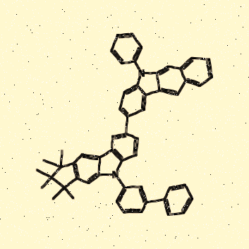 CC1(C)c2cc3c4cc(-c5ccc6c(c5)c5cc7ccccc7cc5n6-c5ccccc5)ccc4n(-c4cccc(-c5ccccc5)c4)c3cc2C(C)(C)C1(C)C